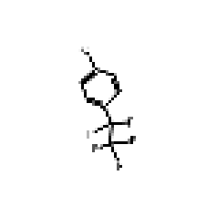 [O]c1ccc(C(F)(F)C(F)(F)F)cc1